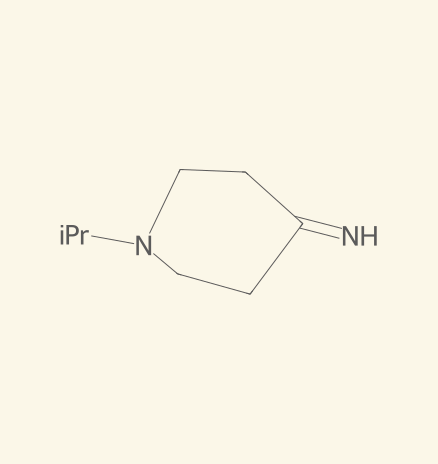 CC(C)N1CCC(=N)CC1